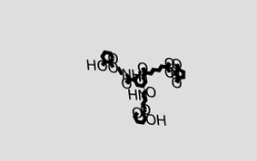 O=C(CCCCC(=O)N1CC(C(=O)NCCOC2OCCCC2O)C[C@@H](C(=O)NCCOC2OCCCC2O)C1)ON1C(=O)CCC1=O